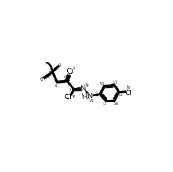 CC(C)(C)CC(=O)C(Cl)=NNc1ccc(Cl)cc1